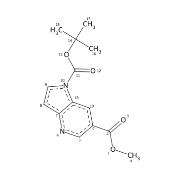 COC(=O)c1cnc2ccn(C(=O)OC(C)(C)C)c2c1